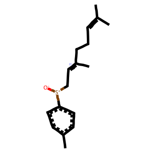 CC(C)=CCC/C(C)=C/C[S+]([O-])c1ccc(C)cc1